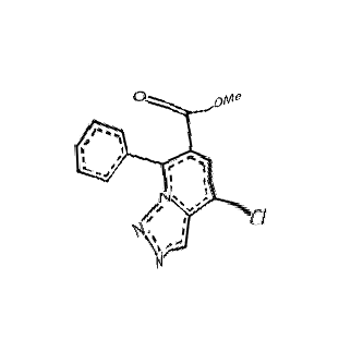 COC(=O)c1cc(Cl)c2cnnn2c1-c1ccccc1